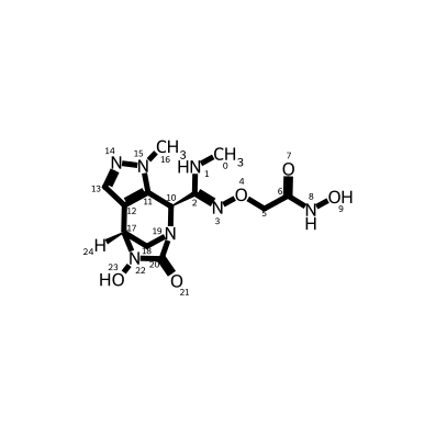 CN/C(=N\OCC(=O)NO)[C@@H]1c2c(cnn2C)[C@@H]2CN1C(=O)N2O